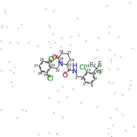 O=C(NCc1cccc(C(F)(F)F)c1Cl)C1CCCC(=O)N1Cc1c(Cl)cccc1Cl